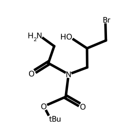 CC(C)(C)OC(=O)N(CC(O)CBr)C(=O)CN